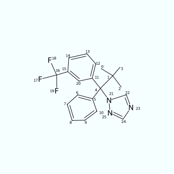 CC(C)(C)C(c1ccccc1)(c1cccc(C(F)(F)F)c1)n1cncn1